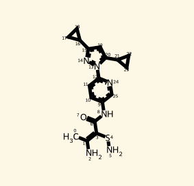 C/C(N)=C(/SN)C(=O)Nc1ccc(-n2nc(C3CC3)cc2C2CC2)nc1